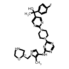 Cc1c(Nc2ncnc(N3CCN(c4ncc(C(C)(O)c5ccc(F)cc5)cn4)CC3)n2)cnn1C[C@@H]1CNCCO1